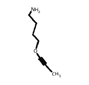 CC#COCCCCN